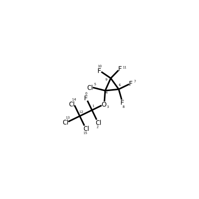 FC(Cl)(OC1(Cl)C(F)(F)C1(F)F)C(Cl)(Cl)Cl